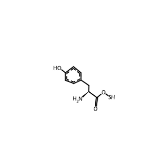 N[C@@H](Cc1ccc(O)cc1)C(=O)OS